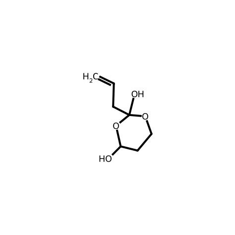 C=CCC1(O)OCCC(O)O1